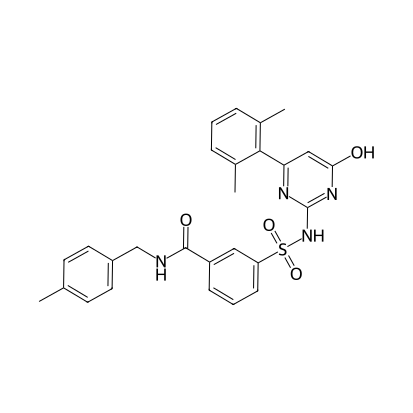 Cc1ccc(CNC(=O)c2cccc(S(=O)(=O)Nc3nc(O)cc(-c4c(C)cccc4C)n3)c2)cc1